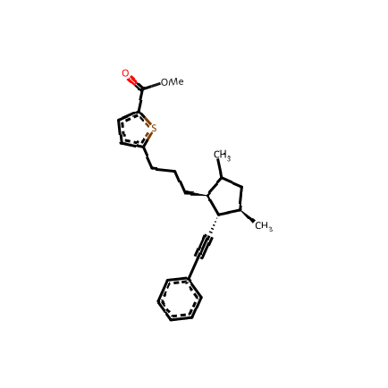 COC(=O)c1ccc(CCC[C@H]2C(C)C[C@@H](C)[C@@H]2C#Cc2ccccc2)s1